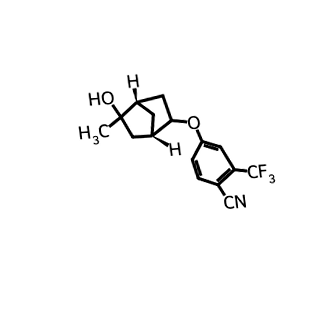 CC1(O)C[C@@H]2C[C@H]1CC2Oc1ccc(C#N)c(C(F)(F)F)c1